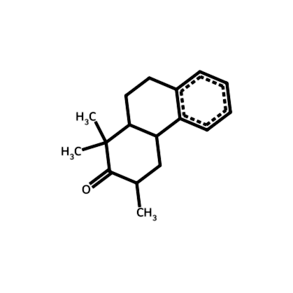 CC1CC2c3ccccc3CCC2C(C)(C)C1=O